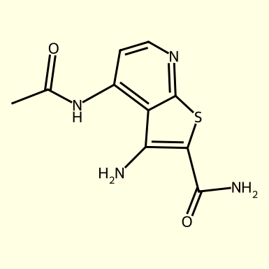 CC(=O)Nc1ccnc2sc(C(N)=O)c(N)c12